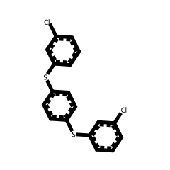 Clc1cccc(Sc2ccc(Sc3cccc(Cl)c3)cc2)c1